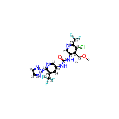 CO[C@H](C)c1c(NC(=O)Nc2cnc(-n3nccn3)c(C(F)(F)F)c2)cnc(C(F)F)c1Cl